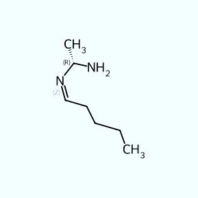 CCCC/C=N\[C@H](C)N